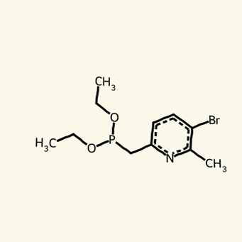 CCOP(Cc1ccc(Br)c(C)n1)OCC